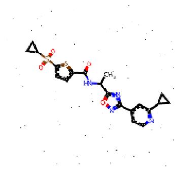 CC(NC(=O)c1ccc(S(=O)(=O)C2CC2)s1)c1nc(-c2ccnc(C3CC3)c2)no1